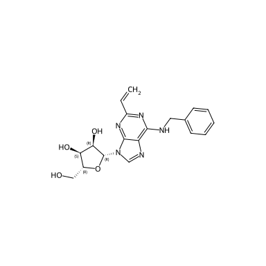 C=Cc1nc(NCc2ccccc2)c2ncn([C@@H]3O[C@H](CO)[C@@H](O)[C@H]3O)c2n1